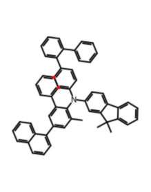 Cc1cc(-c2cccc3ccccc23)cc(-c2ccccc2)c1N(c1ccc(-c2ccccc2-c2ccccc2)cc1)c1ccc2c(c1)C(C)(C)c1ccccc1-2